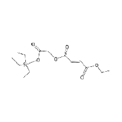 CCOC(=O)C=CC(=O)OCC(=O)O[Si](CC)(CC)CC